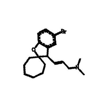 CN(C)CC=CC1c2cc(Br)ccc2OC12CCCCCC2